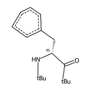 CC(C)(C)N[C@H](Cc1ccccc1)C(=O)C(C)(C)C